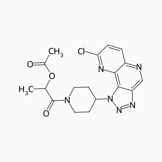 CC(=O)OC(C)C(=O)N1CCC(n2nnc3cnc4ccc(Cl)nc4c32)CC1